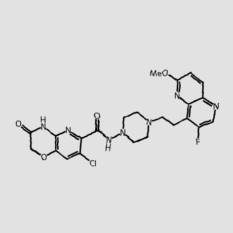 COc1ccc2ncc(F)c(CCN3CCN(NC(=O)c4nc5c(cc4Cl)OCC(=O)N5)CC3)c2n1